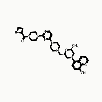 C[C@H]1CN(c2ccc(C#N)c3ncccc23)C[C@@H](CN2CCN(c3ccnc(N4CCN(C(=O)C5CCN5)CC4)n3)CC2)O1